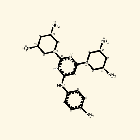 Nc1ccc(Nc2cc(N3C[C@H](N)C[C@H](N)C3)nc(N3C[C@H](N)C[C@H](N)C3)n2)cc1